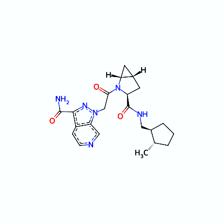 C[C@H]1CCC[C@@H]1CNC(=O)[C@@H]1C[C@H]2C[C@H]2N1C(=O)Cn1nc(C(N)=O)c2ccncc21